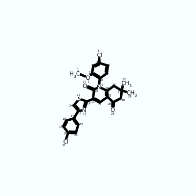 COc1cc(Cl)ccc1-n1c2c(cc(-c3nc(-c4ccc(Cl)cc4)cs3)c1=O)C(=O)CC(C)(C)C2